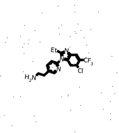 CCc1nc2c(n1-c1ccc(CCN)cn1)CC(Cl)C(C(F)(F)F)=C2